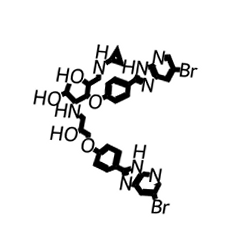 CC(O)C(NCC(O)COc1ccc(-c2nc3cc(Br)cnc3[nH]2)cc1)C(Oc1ccc(-c2nc3cc(Br)cnc3[nH]2)cc1)C(O)CNC1CC1